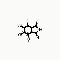 [2H]C1NC(=O)c2c(Cl)c(Cl)c(Cl)c(Cl)c21